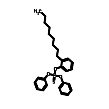 CCCCCCCCCc1ccccc1OP(=S)(Oc1ccccc1)Oc1ccccc1